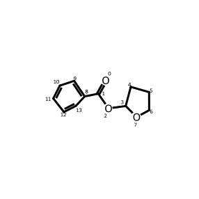 O=C(OC1CCCO1)c1ccccc1